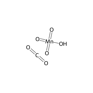 O=C=O.[O]=[Mn](=[O])(=[O])[OH]